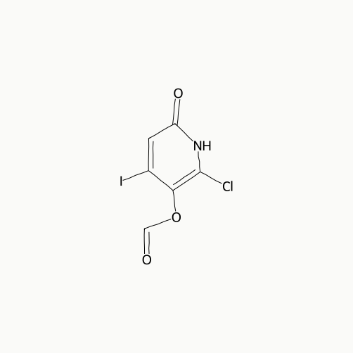 O=COc1c(I)cc(=O)[nH]c1Cl